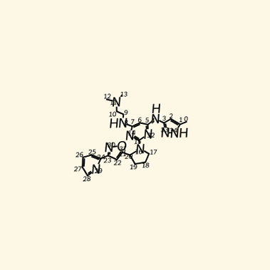 Cc1cc(Nc2cc(NCCN(C)C)nc(N3CCCC3c3cc(-c4ccccn4)no3)n2)n[nH]1